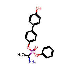 CC(N)P(=O)(Oc1ccccc1)Oc1ccc(-c2ccc(O)cc2)cc1